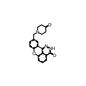 O=C1CCN(Cc2ccc3c(c2)-c2n[nH]c(=O)c4cccc(c24)O3)CC1